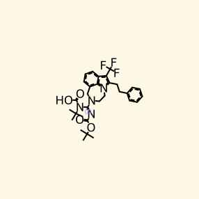 CC(C)(C)OC(=O)/N=C(/N1CCn2c(CCc3ccccc3)c(C(F)(F)F)c3cccc(c32)C1)N(C(=O)O)C(C)(C)C